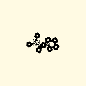 c1ccc(-c2nc(-c3ccccc3)nc(-n3c4ccccc4c4cc5c(cc43)c3cccc4c6ccccc6c6ccccc6c6ccccc6n5c43)n2)cc1